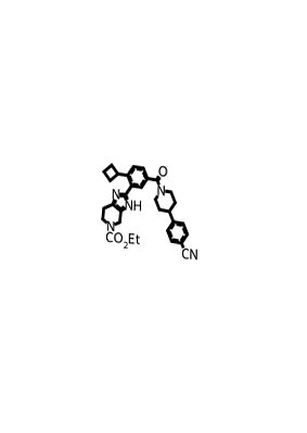 CCOC(=O)N1CCc2nc(-c3cc(C(=O)N4CCC(c5ccc(C#N)cc5)CC4)ccc3C3CCC3)[nH]c2C1